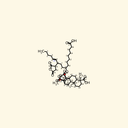 CCCC/C=C/C(CCC(CCCCCCCC(=O)O)OOC1C(C(C)C)C2CC3C4(C)CCCC(C)(C(=O)O)C4CCC13C1C(=O)OC(=O)C21)C1CC(=O)OC1=O